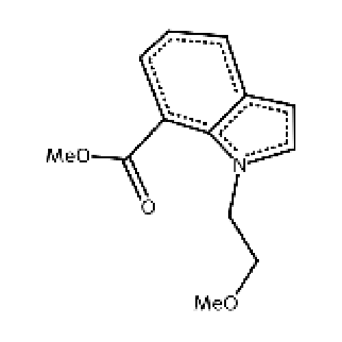 COCCn1ccc2cccc(C(=O)OC)c21